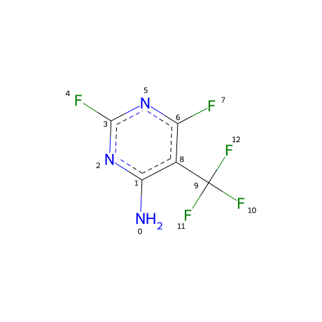 Nc1nc(F)nc(F)c1C(F)(F)F